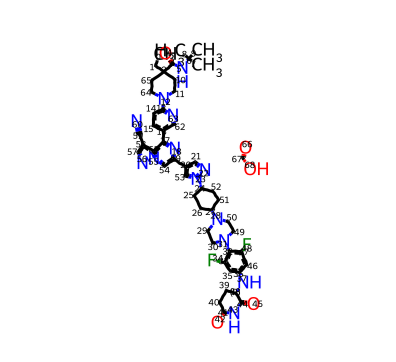 CCC1(C(=O)NC(C)(C)C)CCN(c2ccc(-c3nc(-c4cnn(C5CCC(N6CCN(c7c(F)cc(N[C@@H]8CCC(=O)NC8=O)cc7F)CC6)CC5)c4)cn4ncc(C#N)c34)cn2)CC1.O=CO